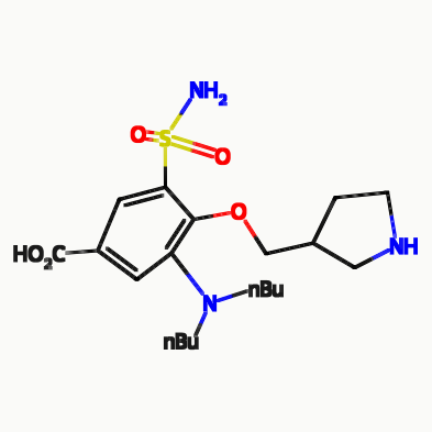 CCCCN(CCCC)c1cc(C(=O)O)cc(S(N)(=O)=O)c1OCC1CCNC1